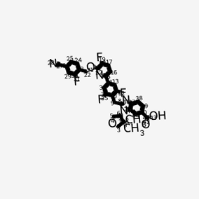 CC1(C)COC[C@H]1n1c(Cc2c(F)cc(-c3ccc(F)c(OCc4ccc(C#N)cc4F)n3)cc2F)nc2ccc(C(=O)O)cc21